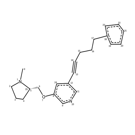 CN1CCC[C@H]1COc1cncc(C#CCCCc2ccccc2)c1